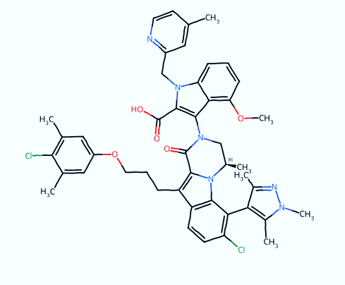 COc1cccc2c1c(N1C[C@@H](C)n3c(c(CCCOc4cc(C)c(Cl)c(C)c4)c4ccc(Cl)c(-c5c(C)nn(C)c5C)c43)C1=O)c(C(=O)O)n2Cc1cc(C)ccn1